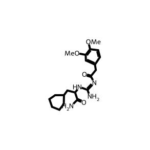 COc1ccc(CC(=O)N=C(N)NC(CC2CCCCC2)C(N)=O)cc1OC